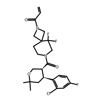 C=CC(=O)N1CC2(CCN(C(=O)[C@@H]3COC(C)(C)C[C@@H]3c3ccc(F)cc3Cl)CC2(F)F)C1